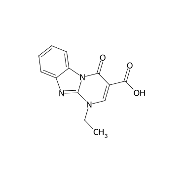 CCn1cc(C(=O)O)c(=O)n2c3ccccc3nc12